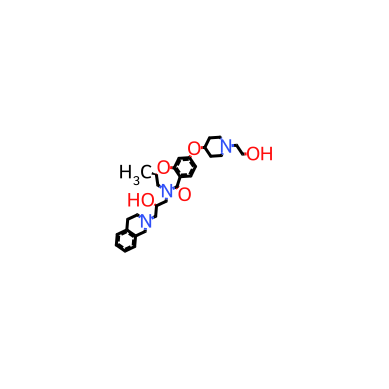 C[C@@H]1CN(C[C@H](O)CN2CCc3ccccc3C2)C(=O)c2ccc(OC3CCN(CCO)CC3)cc2O1